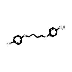 Nc1ccc(OCCCCOc2ccc(C(=O)O)cc2)cc1